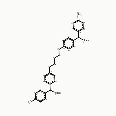 CCCCCCC(c1ccc(N)cc1)c1ccc(CCCCCc2ccc(C(CCCCCC)c3ccc(N)cc3)cc2)cc1